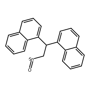 [O]=[Sn][CH2]C(c1cccc2ccccc12)c1cccc2ccccc12